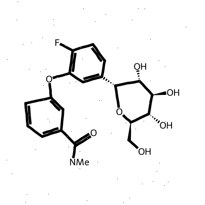 CNC(=O)c1cccc(Oc2cc([C@H]3O[C@H](CO)[C@@H](O)[C@H](O)[C@H]3O)ccc2F)c1